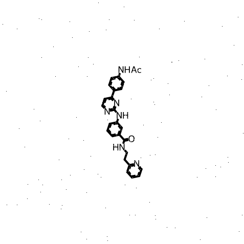 CC(=O)Nc1ccc(-c2ccnc(Nc3cccc(C(=O)NCCc4ccccn4)c3)n2)cc1